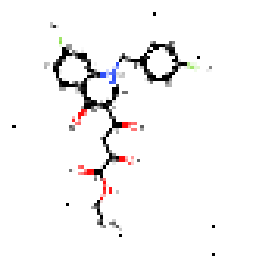 CCOC(=O)C(=O)CC(=O)c1cn(Cc2ccc(F)cc2)c2cc(F)ccc2c1=O